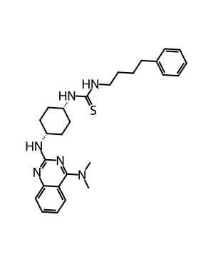 CN(C)c1nc(N[C@H]2CC[C@@H](NC(=S)NCCCCc3ccccc3)CC2)nc2ccccc12